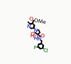 COC(=O)c1cc(N2CCC(O)(C(=O)NCc3cc(F)cc(Cl)c3)C2=O)cnc1C